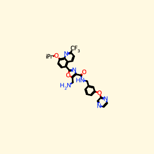 CC(C)Oc1ccc(-c2nc(C(=O)NCc3cccc(Oc4cnccn4)c3)c(CN)o2)c2ccc(C(F)(F)F)nc12